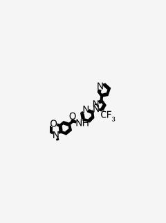 CN1CCOc2cc(C(=O)Nc3ccc(-n4nc(-c5cccnc5)cc4C(F)(F)F)nc3)ccc21